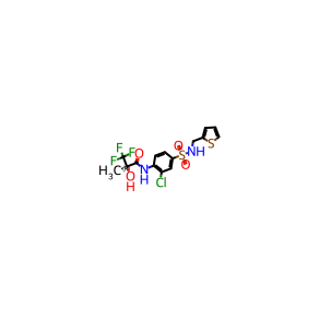 C[C@@](O)(C(=O)Nc1ccc(S(=O)(=O)NCc2cccs2)cc1Cl)C(F)(F)F